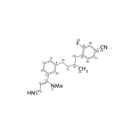 CN/C(=C\C=N)c1cccc(CCC(C)Cc2ccc(C#N)cc2F)c1